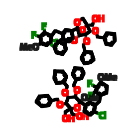 COc1ccc(Cc2cc(C34OC[C@@](CO)(O3)[C@H](OCc3ccccc3)[C@H](OCc3ccccc3)[C@@H]4OCc3ccccc3)ccc2Cl)c(F)c1F.COc1ccc(Cc2cc([C@]3(OC)OC(CO)(CO)[C@@H](OCc4ccccc4)[C@H](OCc4ccccc4)[C@H]3OCc3ccccc3)ccc2Cl)c(F)c1F